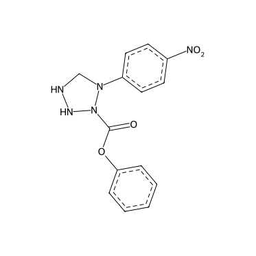 O=C(Oc1ccccc1)N1NNCN1c1ccc([N+](=O)[O-])cc1